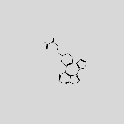 C=C(CNC1CCC=C(c2ccnc3[nH]cc(-c4ccco4)c23)C1)C(C)=O